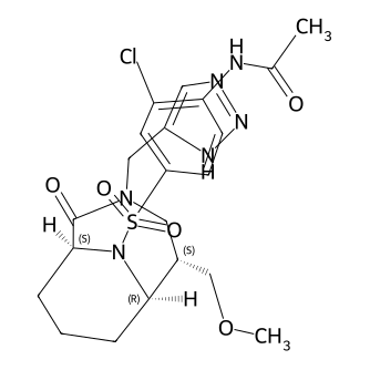 COC[C@H]1CN(Cc2cnn[nH]2)C(=O)[C@@H]2CCC[C@H]1N2S(=O)(=O)c1ccc(NC(C)=O)c(Cl)c1